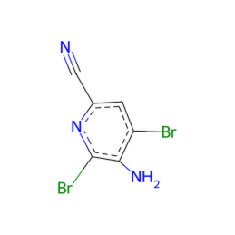 N#Cc1cc(Br)c(N)c(Br)n1